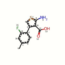 Cc1ccc(-c2csc(N)c2C(=O)O)c(F)c1